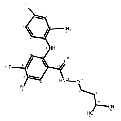 Cc1cc(I)ccc1Nc1cc(F)c(Br)cc1C(=O)NOCCC(C)O